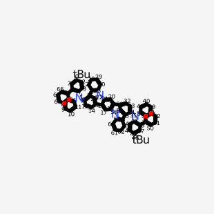 CC(C)(C)c1ccc(N(c2ccccc2)c2ccc3c4cc5c(cc4n4c6c(c2c34)CCC=C6)c2ccc(N(c3ccccc3)c3ccc(C(C)(C)C)cc3-c3ccccc3)c3c4c(n5c32)C=CCC4)c(-c2ccccc2)c1